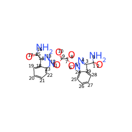 NC(=O)c1nn(OC(=O)C(=O)On2nc(C(N)=O)c3ccccc32)c2ccccc12